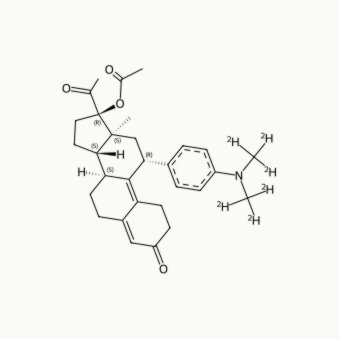 [2H]C([2H])([2H])N(c1ccc([C@H]2C[C@@]3(C)[C@@H](CC[C@]3(OC(C)=O)C(C)=O)[C@@H]3CCC4=CC(=O)CCC4=C32)cc1)C([2H])([2H])[2H]